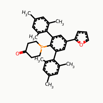 Cc1cc(C)c(-c2cc(-c3ccco3)cc(-c3c(C)cc(C)cc3C)c2P2CCC(=O)CC2)c(C)c1